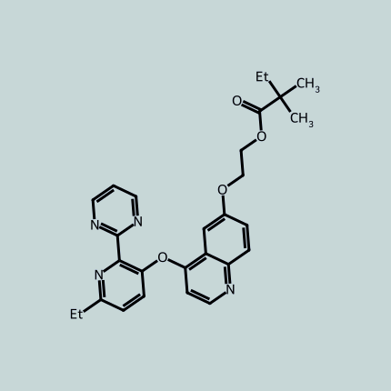 CCc1ccc(Oc2ccnc3ccc(OCCOC(=O)C(C)(C)CC)cc23)c(-c2ncccn2)n1